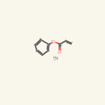 C=CC(=O)Oc1ccccc1.[Hg]